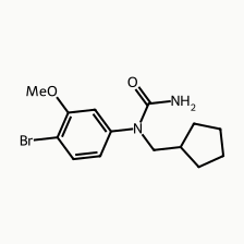 COc1cc(N(CC2CCCC2)C(N)=O)ccc1Br